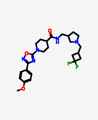 COc1ccc(-c2noc(N3CCC(C(=O)NCC4CCN(CC5CC(F)(F)C5)C4)CC3)n2)cc1